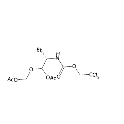 CC[C@H](NC(=O)OCC(Cl)(Cl)Cl)C(OCOC(C)=O)OC(C)=O